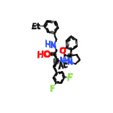 CCc1cccc(CNC[C@H](O)[C@H](Cc2cc(F)cc(F)c2)NC(=O)[C@]2(c3ccccc3)CCCN2C(C)=O)c1